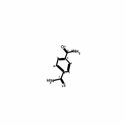 NC(=O)c1ccc(C(N)=S)cc1